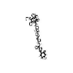 O=C(CCOCCOCCOCCN1C(=O)C(Cl)=C(Cl)S1(=O)=O)OCc1ccccc1